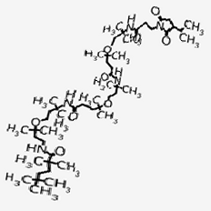 CC(C)C1CC(=O)N(CCC(=O)NC(C)(C)CCOC(C)(C)CCC(=O)NC(C)(C)CCOC(C)(C)CCC(=O)NC(C)(C)CCOC(C)(C)CCNC(=O)C(C)(C)CCC(C)(C)C)C1=O